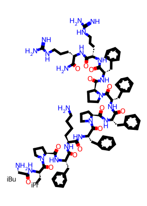 CC[C@H](C)[C@H](N)C(=O)N[C@@H](CC(C)C)C(=O)N1CCC[C@H]1C(=O)N[C@@H](Cc1ccccc1)C(=O)N[C@@H](CCCCN)C(=O)N[C@@H](Cc1ccccc1)C(=O)N1CCC[C@H]1C(=O)N[C@@H](Cc1ccccc1)C(=O)N[C@@H](Cc1ccccc1)C(=O)N1CCC[C@H]1C(=O)N[C@@H](Cc1ccccc1)C(=O)N[C@@H](CCCNC(=N)N)C(=O)N[C@@H](CCCNC(=N)N)C(N)=O